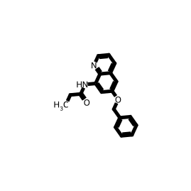 CCC(=O)Nc1cc(OCc2ccccc2)cc2cccnc12